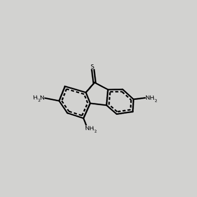 Nc1ccc2c(c1)C(=S)c1cc(N)cc(N)c1-2